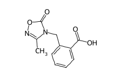 Cc1noc(=O)n1Cc1ccccc1C(=O)O